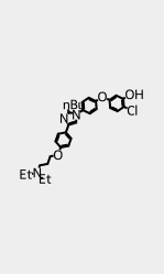 CCCCc1nc(-c2ccc(OCCCN(CC)CC)cc2)cn1-c1ccc(Oc2ccc(Cl)c(O)c2)cc1